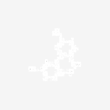 CCCc1ccc(OC)c(-c2cc(F)ccc2CCC)c1